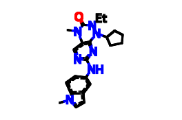 CCN1C(=O)N(C)c2cnc(Nc3ccc4c(ccn4C)c3)nc2N1C1CCCC1